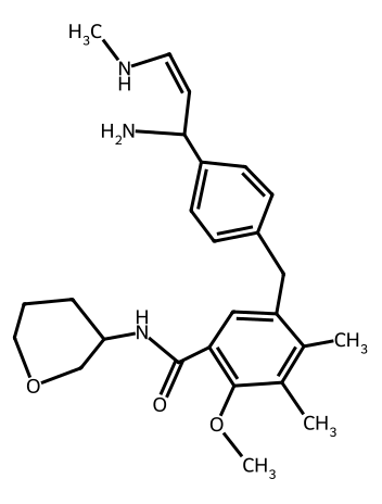 CN/C=C\C(N)c1ccc(Cc2cc(C(=O)NC3CCCOC3)c(OC)c(C)c2C)cc1